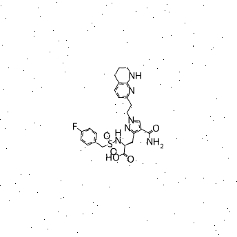 NC(=O)c1cn(CCc2ccc3c(n2)NCCC3)nc1C[C@H](NS(=O)(=O)Cc1ccc(F)cc1)C(=O)O